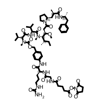 CC[C@H](C)[C@@H]([C@@H](CC(=O)N1CCC[C@H]1C[C@@H](C)C(=O)N[C@H](C)Cc1ccccc1)OC)N(C)C(=O)[C@@H](NC(=O)[C@H](C(C)C)N(C)C(=O)OCc1ccc(NC(=O)[C@H](CCCNC(N)=O)NC(=O)CNC(=O)CCCC(=O)ON2C(=O)CCC2=O)cc1)C(C)C